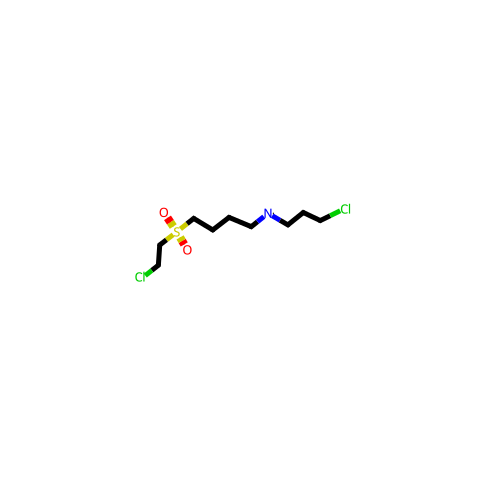 O=S(=O)(CCCl)CCCC[N]CCCCl